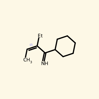 C/C=C(/CC)C(=N)C1CCCCC1